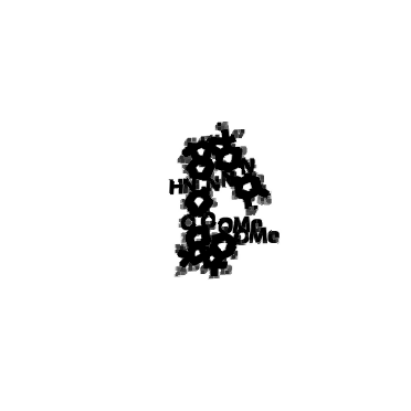 COc1cc2c(cc1OC)C1(CC2(C)C)CC(C)(C)c2cc3c(cc21)OC1=CC2=Nc4cc5c(cc4NC2C=C1O3)C(C)(C)CC51CC(C)(C)c2cc3nc4cc(C)c(C)cc4nc3cc21